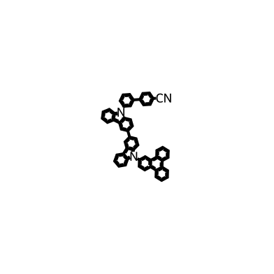 N#Cc1ccc(-c2cccc(-n3c4ccccc4c4cc(-c5ccc6c(c5)c5ccccc5n6-c5ccc6c7ccccc7c7ccccc7c6c5)ccc43)c2)cc1